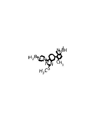 BN1CCN(c2nc(SC)nc3c2CCCC(c2c(C)ccc4c2cnn4BI)C3)CC1